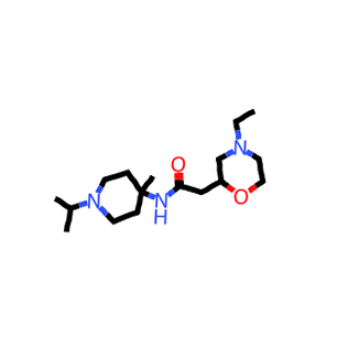 CCN1CCOC(CC(=O)NC2(C)CCN(C(C)C)CC2)C1